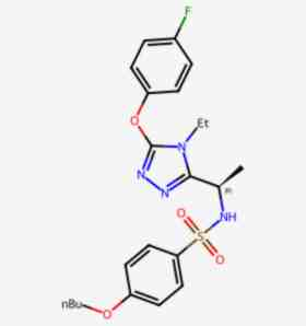 CCCCOc1ccc(S(=O)(=O)N[C@H](C)c2nnc(Oc3ccc(F)cc3)n2CC)cc1